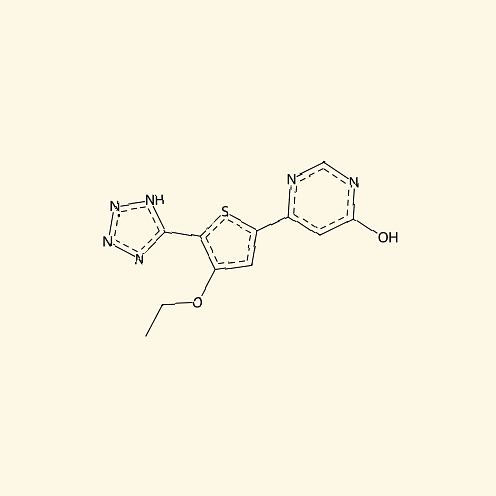 CCOc1cc(-c2cc(O)ncn2)sc1-c1nnn[nH]1